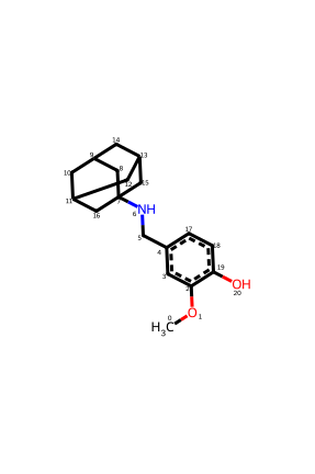 COc1cc(CNC23CC4CC(CC(C4)C2)C3)ccc1O